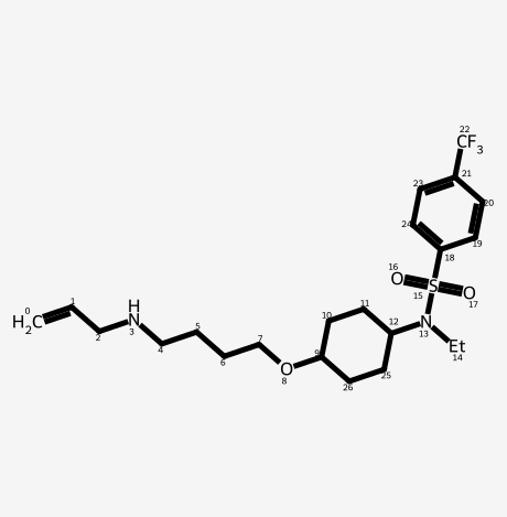 C=CCNCCCCOC1CCC(N(CC)S(=O)(=O)c2ccc(C(F)(F)F)cc2)CC1